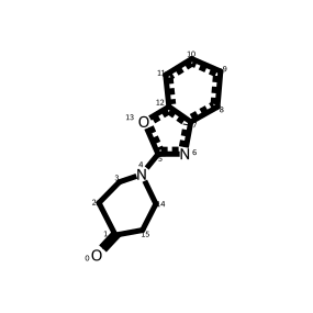 O=C1CCN(c2nc3ccccc3o2)CC1